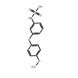 COc1ccc(Oc2cccc(NS(C)(=O)=O)c2)cc1